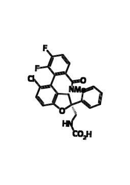 CNC(=O)c1ccc(F)c(F)c1-c1c(Cl)ccc2c1C[C@@](CNC(=O)O)(c1ccccc1)O2